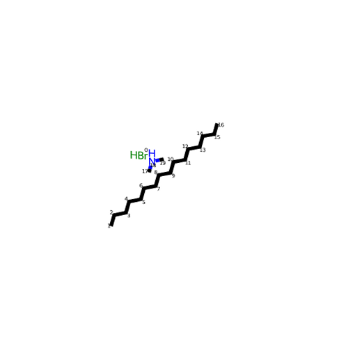 Br.CCCCCCCCCCCCCCCC.CNC